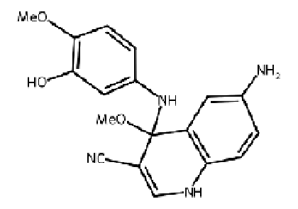 COc1ccc(NC2(OC)C(C#N)=CNc3ccc(N)cc32)cc1O